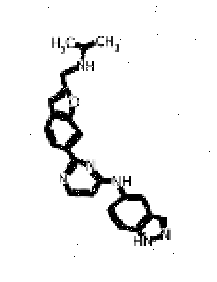 CC(C)NCc1cc2ccc(-c3nccc(Nc4ccc5[nH]ncc5c4)n3)cc2o1